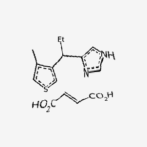 CCC(c1c[nH]cn1)c1cscc1C.O=C(O)/C=C/C(=O)O